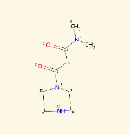 CN(C)C(=O)CC(=O)N1CCNCC1